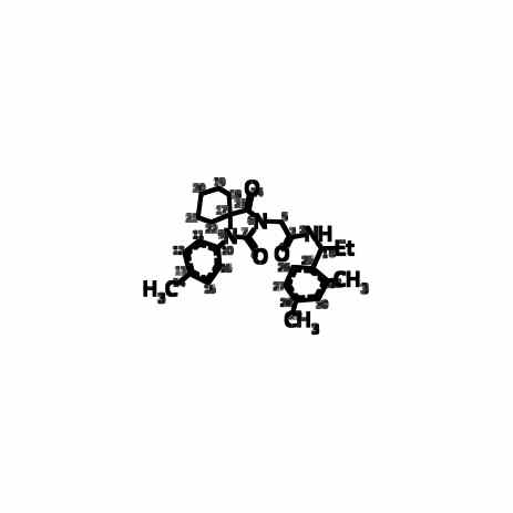 CCC(NC(=O)CN1C(=O)N(c2ccc(C)cc2)C2(CCCCC2)C1=O)c1ccc(C)cc1C